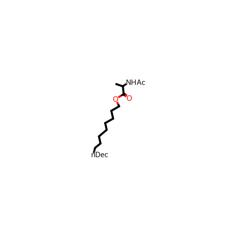 CCCCCCCCCCCCCCCCCCOC(=O)C(C)NC(C)=O